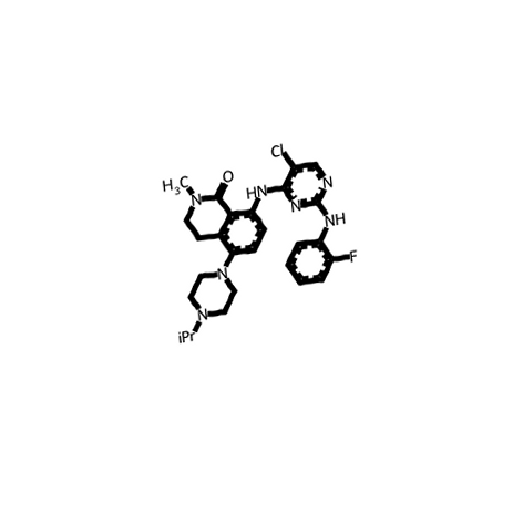 CC(C)N1CCN(c2ccc(Nc3nc(Nc4ccccc4F)ncc3Cl)c3c2CCN(C)C3=O)CC1